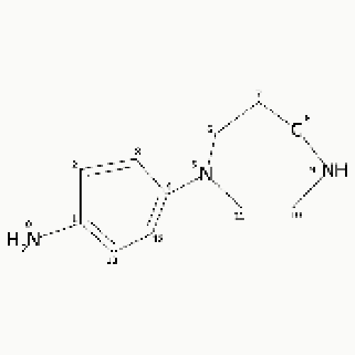 Nc1ccc(N2CCCNCC2)cc1